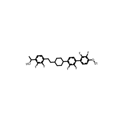 CCOc1ccc(-c2ccc(C3CCC(CCc4ccc(C(C)O)c(F)c4F)CC3)c(F)c2F)c(F)c1F